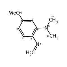 C=Nc1ccc(OC)cc1N(C)C